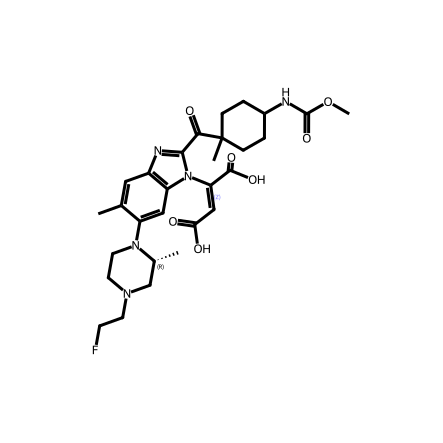 COC(=O)NC1CCC(C)(C(=O)c2nc3cc(C)c(N4CCN(CCF)C[C@H]4C)cc3n2/C(=C\C(=O)O)C(=O)O)CC1